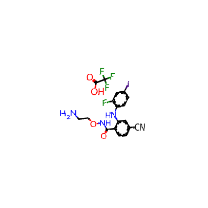 N#Cc1ccc(C(=O)NOCCN)c(Nc2ccc(I)cc2F)c1.O=C(O)C(F)(F)F